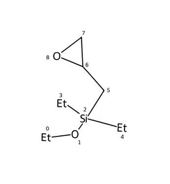 CCO[Si](CC)(CC)CC1CO1